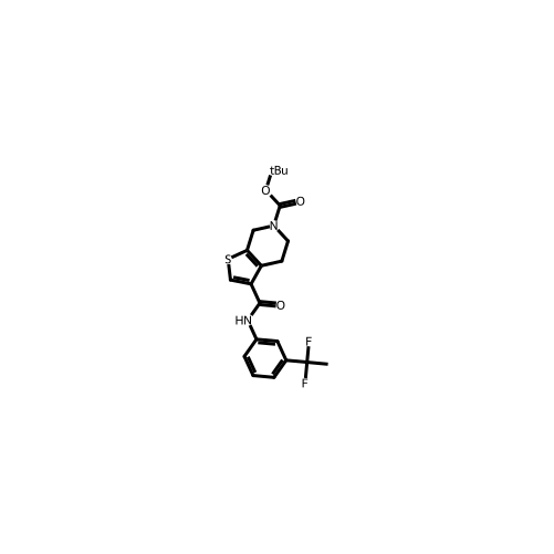 CC(C)(C)OC(=O)N1CCc2c(C(=O)Nc3cccc(C(C)(F)F)c3)csc2C1